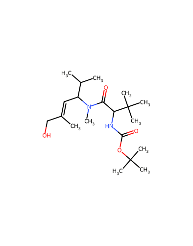 C/C(=C\C(C(C)C)N(C)C(=O)C(NC(=O)OC(C)(C)C)C(C)(C)C)CO